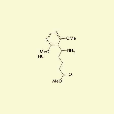 COC(=O)CCCC(N)c1c(OC)ncnc1OC.Cl